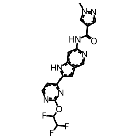 Cn1cc(C(=O)Nc2cc3[nH]c(-c4ccnc(OC(F)C(F)F)n4)cc3cn2)cn1